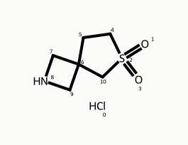 Cl.O=S1(=O)CCC2(CNC2)C1